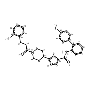 O=C(Nc1ccccc1-c1ccc(F)cc1)c1csc(C2CCN(C(=O)CCc3ccccc3F)CC2)n1